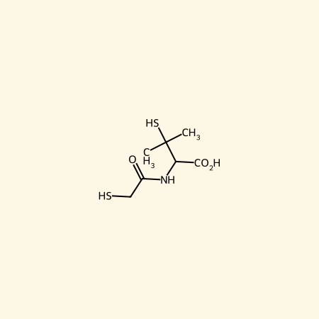 CC(C)(S)C(NC(=O)CS)C(=O)O